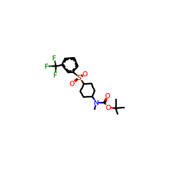 CN(C(=O)OC(C)(C)C)C1CCC(S(=O)(=O)c2cccc(C(F)(F)F)c2)CC1